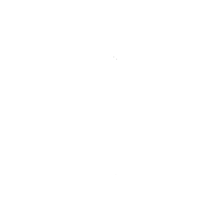 c1ccc2c(c1)Cc1c(ccc3c1Cc1ccccc1-3)N2